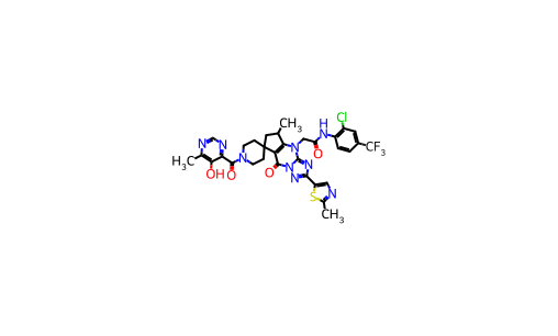 Cc1ncc(-c2nc3n(CC(=O)Nc4ccc(C(F)(F)F)cc4Cl)c4c(c(=O)n3n2)C2(CCN(C(=O)c3ncnc(C)c3O)CC2)CC4C)s1